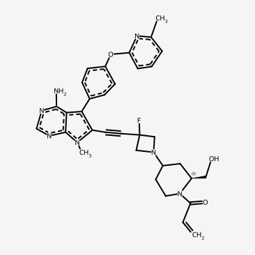 C=CC(=O)N1CCC(N2CC(F)(C#Cc3c(-c4ccc(Oc5cccc(C)n5)cc4)c4c(N)ncnc4n3C)C2)C[C@H]1CO